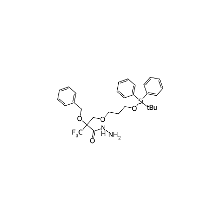 CC(C)(C)[Si](OCCCOCC(OCc1ccccc1)(C(=O)NN)C(F)(F)F)(c1ccccc1)c1ccccc1